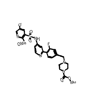 COc1ncc(Cl)cc1S(=O)(=O)Nc1ccnc(-c2ccc(CN3CCN(C(=O)OC(C)(C)C)CC3)cc2F)c1